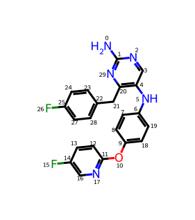 Nc1ncc(Nc2ccc(Oc3ccc(F)cn3)cc2)c(Cc2ccc(F)cc2)n1